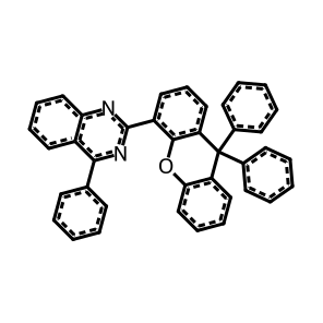 c1ccc(-c2nc(-c3cccc4c3Oc3ccccc3C4(c3ccccc3)c3ccccc3)nc3ccccc23)cc1